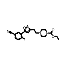 CCOC(=O)N1CCN(CCc2cc(-c3cc(C#N)ccc3F)on2)CC1